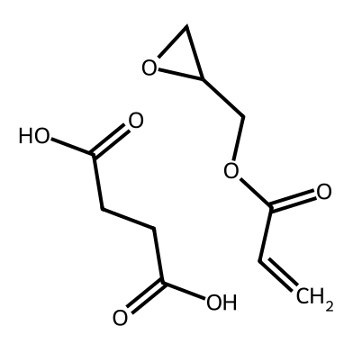 C=CC(=O)OCC1CO1.O=C(O)CCC(=O)O